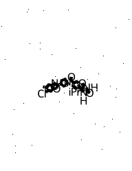 Cc1cc2nc(C3CCN(C(=O)c4ccc([C@@]5(C(C)C)NC(=O)NC5=O)cc4)CC3)oc2cc1Cl